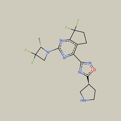 C[C@@H]1N(c2nc(-c3noc([C@H]4CCNC4)n3)c3c(n2)C(F)(F)CC3)CC1(F)F